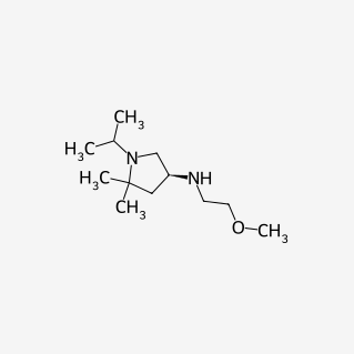 COCCN[C@@H]1CN(C(C)C)C(C)(C)C1